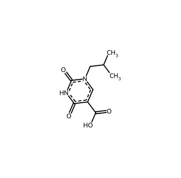 CC(C)Cn1cc(C(=O)O)c(=O)[nH]c1=O